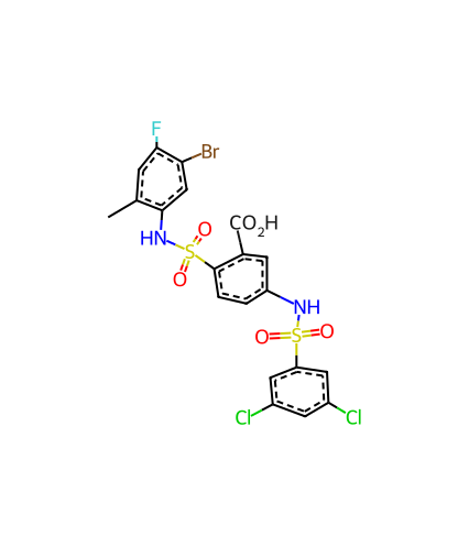 Cc1cc(F)c(Br)cc1NS(=O)(=O)c1ccc(NS(=O)(=O)c2cc(Cl)cc(Cl)c2)cc1C(=O)O